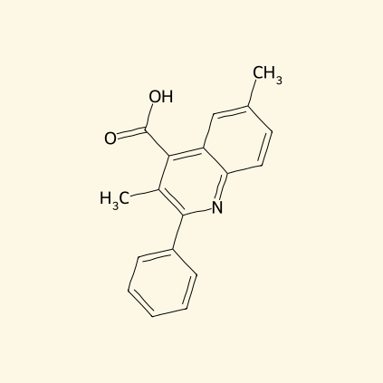 Cc1ccc2nc(-c3ccccc3)c(C)c(C(=O)O)c2c1